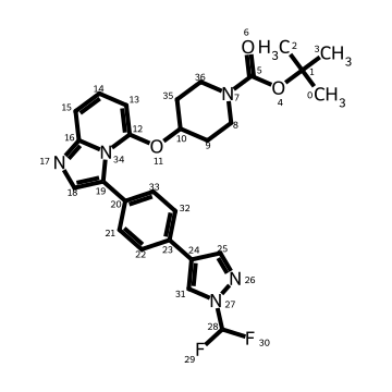 CC(C)(C)OC(=O)N1CCC(Oc2cccc3ncc(-c4ccc(-c5cnn(C(F)F)c5)cc4)n23)CC1